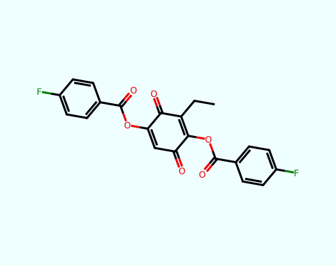 CCC1=C(OC(=O)c2ccc(F)cc2)C(=O)C=C(OC(=O)c2ccc(F)cc2)C1=O